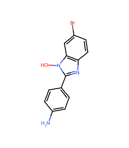 Nc1ccc(-c2nc3ccc(Br)cc3n2O)cc1